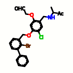 CC(=O)C(C)NCc1cc(Cl)c(OCc2cccc(-c3ccccc3)c2Br)cc1OCC=O